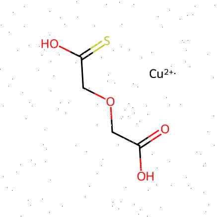 O=C(O)COCC(O)=S.[Cu+2]